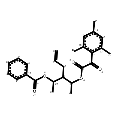 C=CCC(C(C)OC(=O)C(=O)c1c(C)cc(C)cc1C)C(C)OC(=O)c1ccccc1